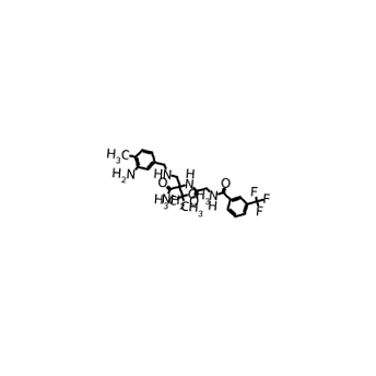 Cc1ccc(CNCC(NC(=O)CNC(=O)c2cccc(C(F)(F)F)c2)(C(N)=O)C(C)(C)C)cc1N